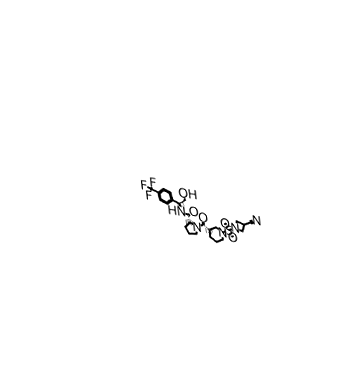 N#CC1CN(S(=O)(=O)N2CCC[C@H](C(=O)N3CCC[C@@H]3C(=O)N[C@H](CO)c3ccc(C(F)(F)F)cc3)C2)C1